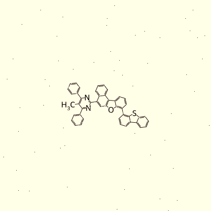 Cc1c(-c2ccccc2)nc(-c2cc3oc4c(-c5cccc6c5sc5ccccc56)cccc4c3c3ccccc23)nc1-c1ccccc1